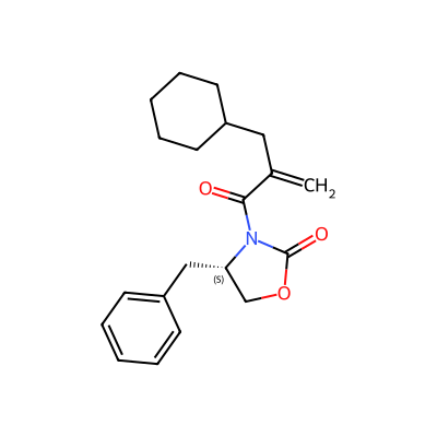 C=C(CC1CCCCC1)C(=O)N1C(=O)OC[C@@H]1Cc1ccccc1